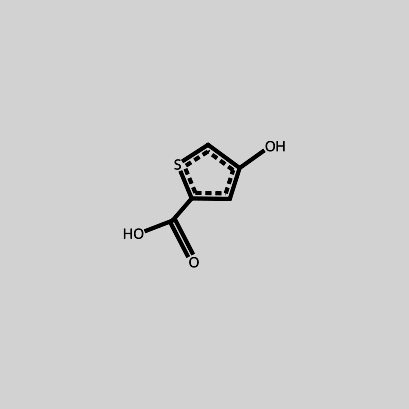 O=C(O)c1cc(O)cs1